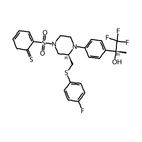 C[C@@](O)(c1ccc(N2CCN(S(=O)(=O)C3=CC=CCC3=S)C[C@@H]2CSc2ccc(F)cc2)cc1)C(F)(F)F